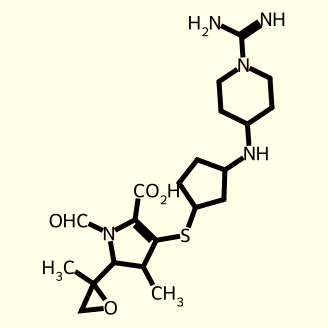 CC1C(SC2CCC(NC3CCN(C(=N)N)CC3)C2)=C(C(=O)O)N(C=O)C1C1(C)CO1